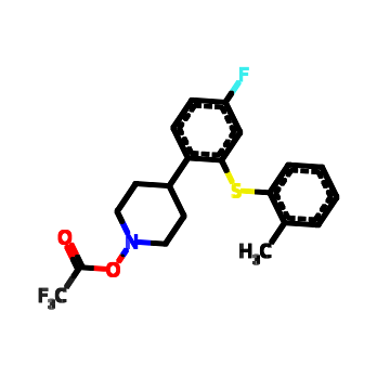 Cc1ccccc1Sc1cc(F)ccc1C1CCN(OC(=O)C(F)(F)F)CC1